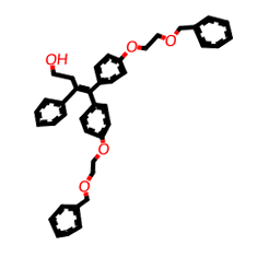 OCCC(=C(c1ccc(OCCOCc2ccccc2)cc1)c1ccc(OCCOCc2ccccc2)cc1)c1ccccc1